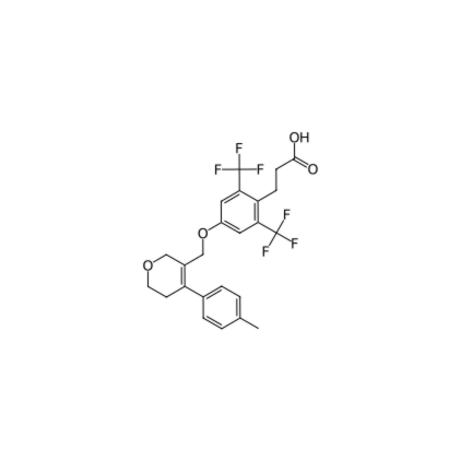 Cc1ccc(C2=C(COc3cc(C(F)(F)F)c(CCC(=O)O)c(C(F)(F)F)c3)COCC2)cc1